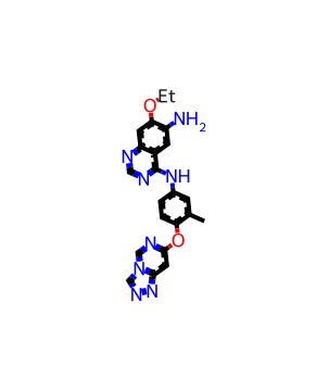 CCOc1cc2ncnc(Nc3ccc(Oc4cc5nncn5cn4)c(C)c3)c2cc1N